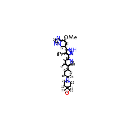 COc1cc(-c2[nH]nc(-c3cc(C)c(C4CCC(N5CCC6(CC5)COC6)CC4)cn3)c2C(C)C)cn2ncnc12